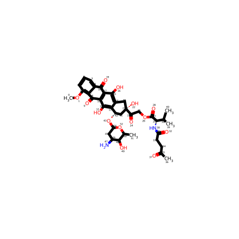 COc1cccc2c1C(=O)c1c(O)c3c(c(O)c1C2=O)C[C@@](O)(C(=O)COC(=O)[C@@H](NC(=O)CCC(C)=O)C(C)C)C[C@@H]3OC1CC(N)C(O)C(C)O1